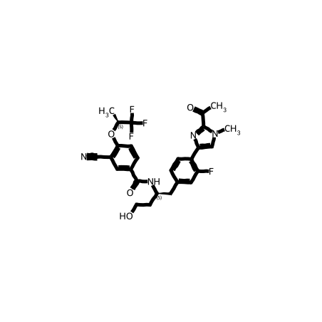 CC(=O)c1nc(-c2ccc(C[C@@H](CCO)NC(=O)c3ccc(O[C@@H](C)C(F)(F)F)c(C#N)c3)cc2F)cn1C